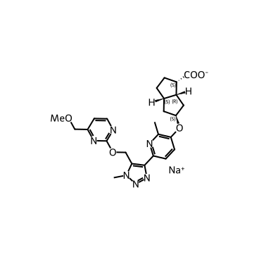 COCc1ccnc(OCc2c(-c3ccc(O[C@H]4C[C@@H]5CC[C@H](C(=O)[O-])[C@@H]5C4)c(C)n3)nnn2C)n1.[Na+]